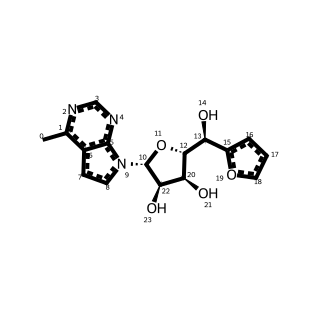 Cc1ncnc2c1ccn2[C@@H]1O[C@H]([C@@H](O)c2ccco2)[C@@H](O)[C@H]1O